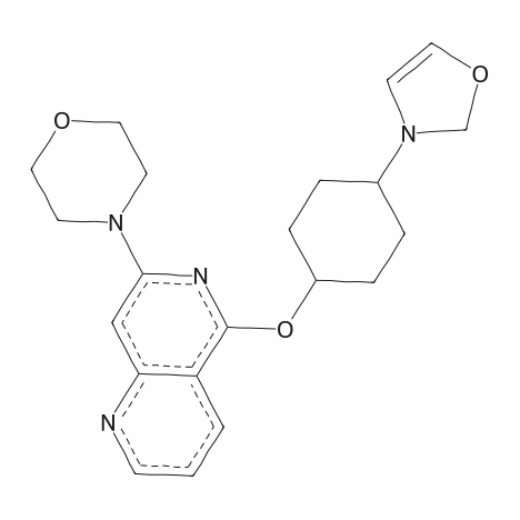 C1=CN(C2CCC(Oc3nc(N4CCOCC4)cc4ncccc34)CC2)CO1